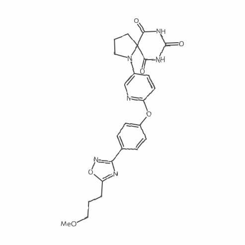 COCCCc1nc(-c2ccc(Oc3ccc(N4CCCC45C(=O)NC(=O)NC5=O)cn3)cc2)no1